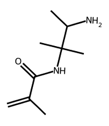 C=C(C)C(=O)NC(C)(C)C(C)N